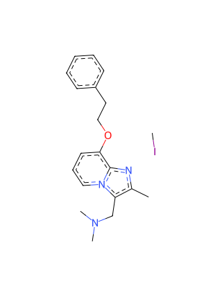 CI.Cc1nc2c(OCCc3ccccc3)cccn2c1CN(C)C